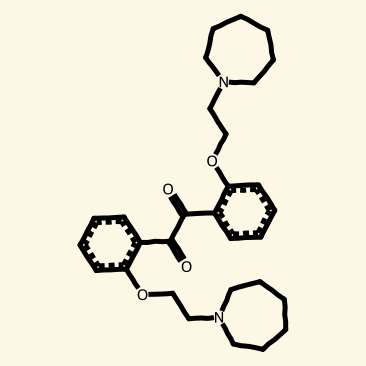 O=C(C(=O)c1ccccc1OCCN1CCCCCC1)c1ccccc1OCCN1CCCCCC1